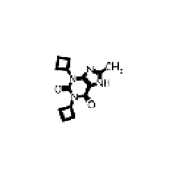 Cc1nc2c([nH]1)c(=O)n(C1CCC1)c(=O)n2C1CCC1